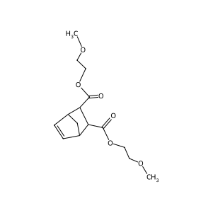 COCCOC(=O)C1C2C=CC(C2)C1C(=O)OCCOC